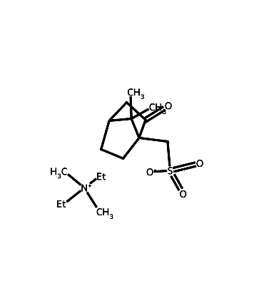 CC1(C)C2CCC1(CS(=O)(=O)[O-])C(=O)C2.CC[N+](C)(C)CC